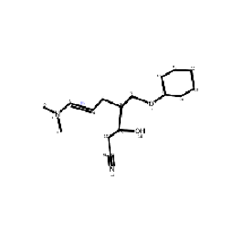 CN(C)/C=C/CC(COC1CCCCC1)C(O)CC#N